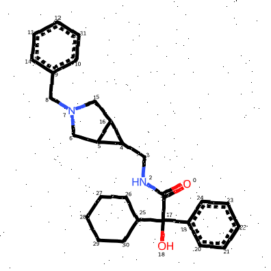 O=C(NCC1C2CN(Cc3ccccc3)CC12)C(O)(c1ccccc1)C1CCCCC1